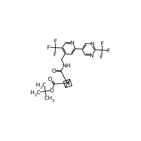 CC(C)(C)OC(=O)N1C2CC(C2)C1C(=O)NCc1cc(-c2cnc(C(F)(F)F)nc2)ncc1C(F)(F)F